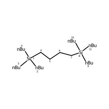 CCCC[Si](CCCC)(CCCC)CCCC[Si](CCCC)(CCCC)CCCC